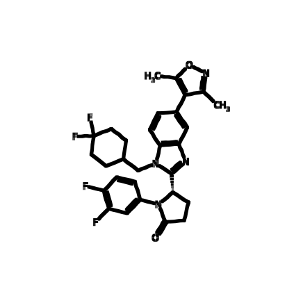 Cc1noc(C)c1-c1ccc2c(c1)nc([C@@H]1CCC(=O)N1c1ccc(F)c(F)c1)n2CC1CCC(F)(F)CC1